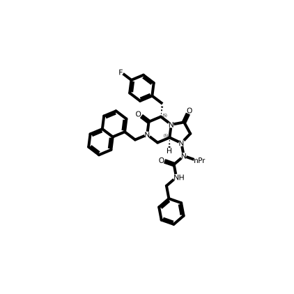 CCCN(C(=O)NCc1ccccc1)N1CC(=O)N2[C@@H](Cc3ccc(F)cc3)C(=O)N(Cc3cccc4ccccc34)C[C@@H]21